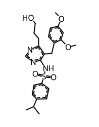 COc1ccc(Cc2c(CCCO)ncnc2NS(=O)(=O)c2ccc(C(C)C)cc2)c(OC)c1